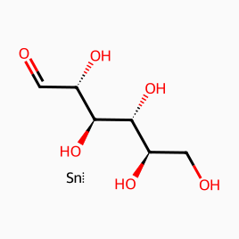 O=C[C@H](O)[C@H](O)[C@H](O)[C@H](O)CO.[Sn]